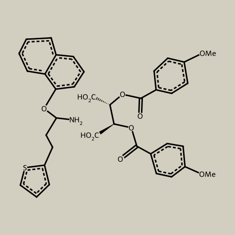 COc1ccc(C(=O)O[C@@H](C(=O)O)[C@@H](OC(=O)c2ccc(OC)cc2)C(=O)O)cc1.NC(CCc1cccs1)Oc1cccc2ccccc12